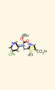 CC[SH]1C(C(=O)O)=CN=C1CN(C(=O)OC(C)(C)C)c1cncc(Cl)c1